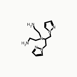 NCCN(CCN)C(Cn1cccn1)Cn1cccn1